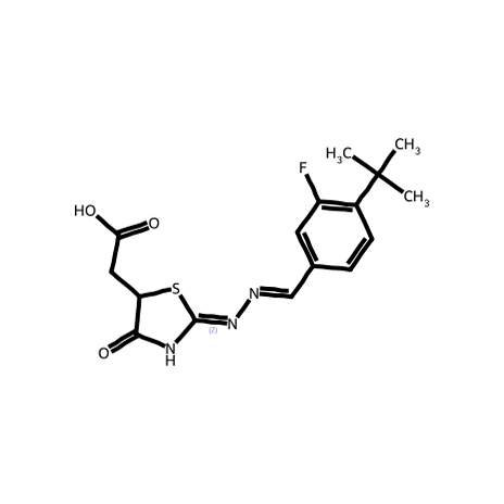 CC(C)(C)c1ccc(C=N/N=C2/NC(=O)C(CC(=O)O)S2)cc1F